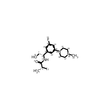 C[C@@H](I)C(=O)N[C@H](CO)c1cc(F)cc(N2CCN(C)CC2)c1